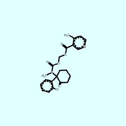 Cc1ccncc1C(=O)OCOC(=O)N(C)C1(c2ccccc2Cl)CCCCC1=O